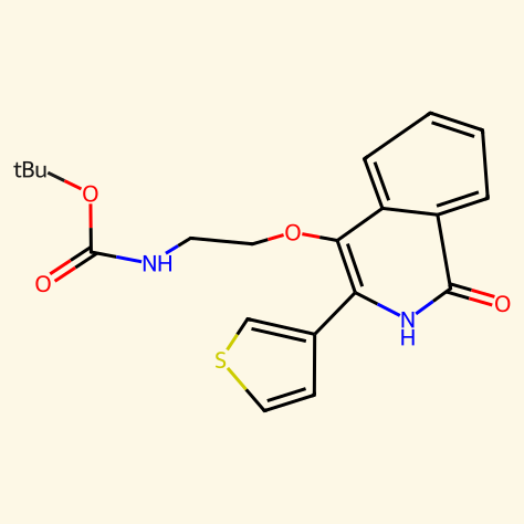 CC(C)(C)OC(=O)NCCOc1c(-c2ccsc2)[nH]c(=O)c2ccccc12